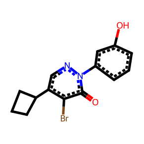 O=c1c(Br)c(C2CCC2)cnn1-c1cccc(O)c1